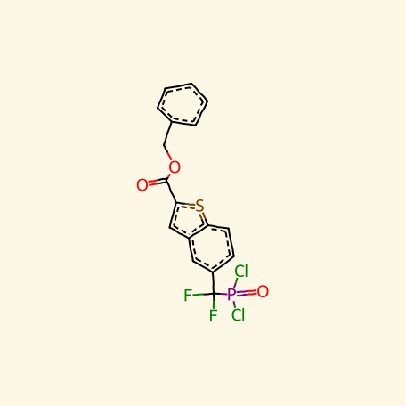 O=C(OCc1ccccc1)c1cc2cc(C(F)(F)P(=O)(Cl)Cl)ccc2s1